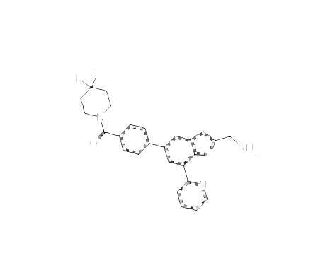 NCc1cc2cc(-c3ccc(C(=O)N4CCC(F)(F)CC4)cc3)cc(-c3ccccn3)c2o1